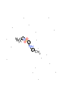 Cc1ccc(CNCc2cccc(S(=O)(=O)N3CCCC(C)(C)C3)c2)cc1